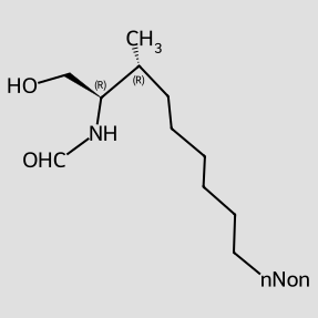 CCCCCCCCCCCCCCC[C@@H](C)[C@H](CO)NC=O